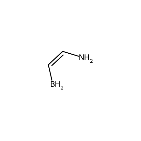 B/C=C\N